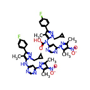 Cc1nn(-c2cc(N(C(=O)O)c3c(C)c(-c4ccc(F)cc4)nn3CC3CC3)ncn2)c(C)c1[N+](=O)[O-].Cc1nn(-c2cc(Nc3c(C)c(-c4ccc(F)cc4)nn3CC3CC3)ncn2)c(C)c1[N+](=O)[O-]